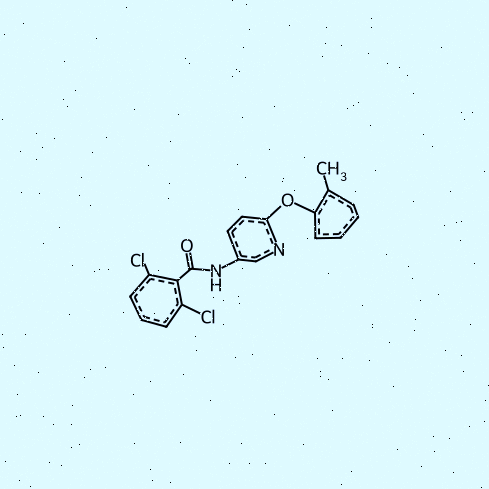 Cc1ccccc1Oc1ccc(NC(=O)c2c(Cl)cccc2Cl)cn1